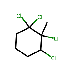 CC1(Cl)C(Cl)CCCC1(Cl)Cl